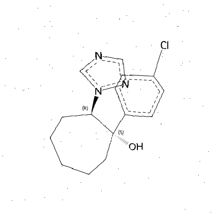 O[C@]1(c2ccc(Cl)cc2)CCCCC[C@H]1n1cncn1